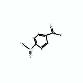 O=[N+]([O-])c1[c]cc([N+](=O)[O-])[c]c1